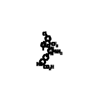 Cc1ccn(-c2cc(Cl)ccc2[C@@H](Oc2cc(N3CCC4(CCNC(C(=O)O)C4)CC3)nc(N)n2)C(F)(F)F)n1